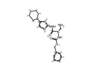 NC[C@@H](NC(=O)OCc1ccccc1)C(=O)Nc1ncc(C2CCCCC2)s1